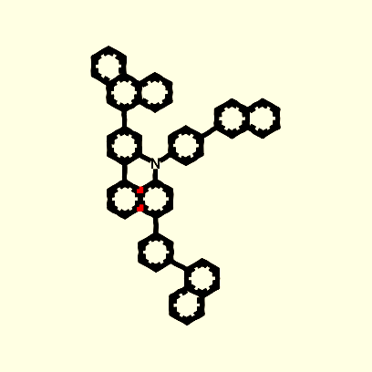 c1ccc(-c2ccc(-c3cc4ccccc4c4ccccc34)cc2N(c2ccc(-c3cccc(-c4cccc5ccccc45)c3)cc2)c2ccc(-c3ccc4ccccc4c3)cc2)cc1